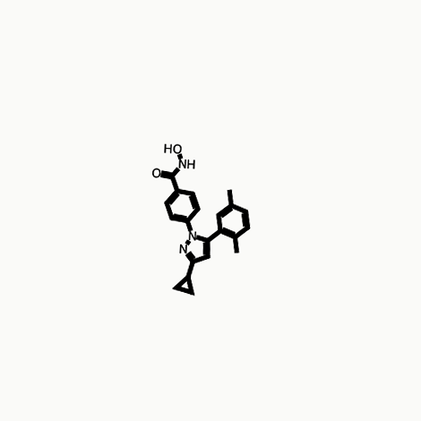 Cc1ccc(C)c(-c2cc(C3CC3)nn2-c2ccc(C(=O)NO)cc2)c1